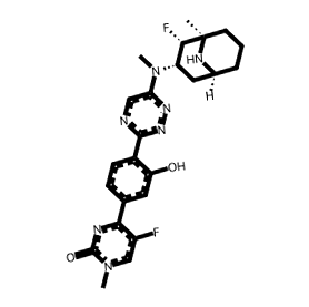 CN(c1cnc(-c2ccc(-c3nc(=O)n(C)cc3F)cc2O)nn1)[C@H]1C[C@@H]2CCC[C@@](C)(N2)[C@H]1F